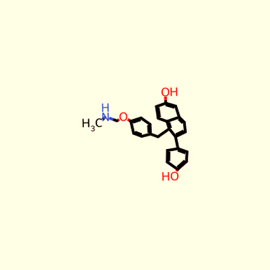 CNCOc1ccc(Cc2c(-c3ccc(O)cc3)ccc3cc(O)ccc23)cc1